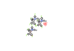 CCCC[N+](CCCC)(CCCC(c1ccc(F)cc1)(c1ccc(F)cc1)c1ccc(F)cc1)c1ccc(F)cc1.CCCC[N+](CCCC)(CCCC(c1ccc(F)cc1)(c1ccc(F)cc1)c1ccc(F)cc1)c1ccc(F)cc1.CCCC[N+](CCCC)(CCCC(c1ccc(F)cc1)(c1ccc(F)cc1)c1ccc(F)cc1)c1ccc(F)cc1.[O-]B([O-])[O-]